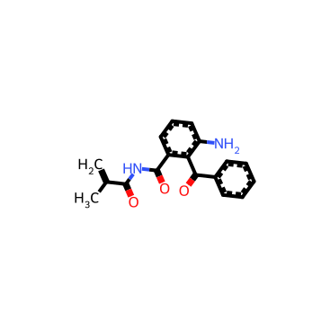 C=C(C)C(=O)NC(=O)c1cccc(N)c1C(=O)c1ccccc1